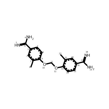 Cc1cc(C(=N)N)ccc1OCOc1ccc(C(=N)N)cc1C